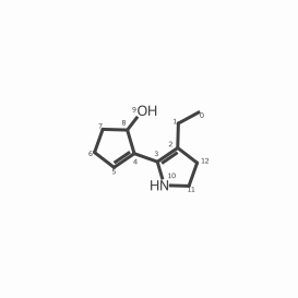 CCC1=C(C2=CCCC2O)NCC1